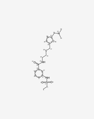 CCS(=O)(=O)Nc1cccc(C(=O)NCCSCc2ccc(CN(C)C)o2)c1